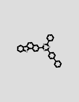 c1ccc(-c2ccc(-c3nc(-c4ccccc4)nc(-c4ccc5c(ccc6c7ccccc7oc56)c4)n3)cc2)cc1